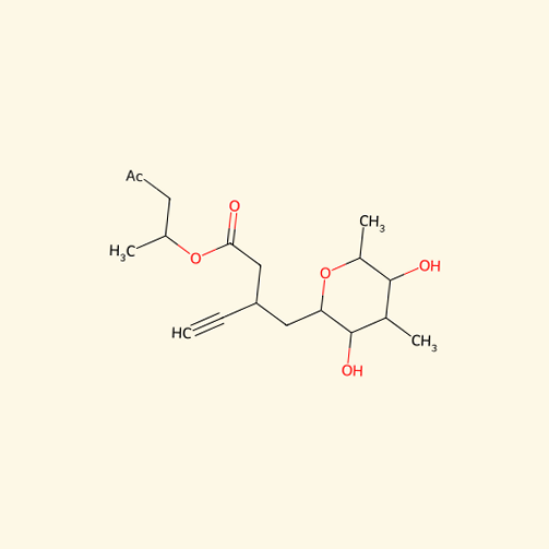 C#CC(CC(=O)OC(C)CC(C)=O)CC1OC(C)C(O)C(C)C1O